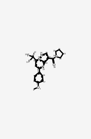 COc1ccc(-c2cc(C(F)(F)F)n3ncc(C(=O)N4CCCC4)c3n2)cc1